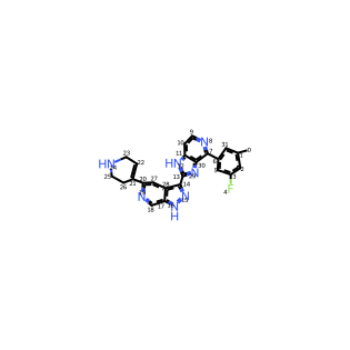 Cc1cc(F)cc(-c2nccc3[nH]c(-c4n[nH]c5cnc(C6=CCNCC6)cc45)nc23)c1